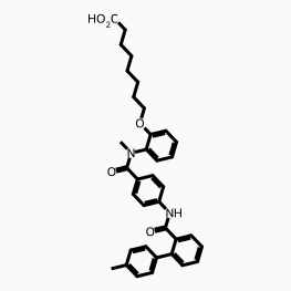 Cc1ccc(-c2ccccc2C(=O)Nc2ccc(C(=O)N(C)c3ccccc3OCCCCCCCC(=O)O)cc2)cc1